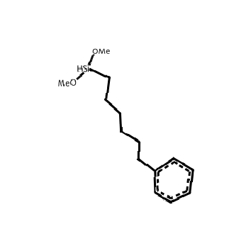 CO[SiH](CCCCCCc1ccccc1)OC